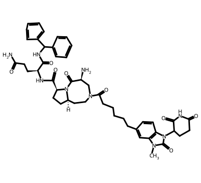 Cn1c(=O)n(C2CCC(=O)NC2=O)c2ccc(CCCCCC(=O)N3CC[C@H]4CC[C@@H](C(=O)N[C@@H](CCC(N)=O)C(=O)NC(c5ccccc5)c5ccccc5)N4C(=O)[C@@H](N)C3)cc21